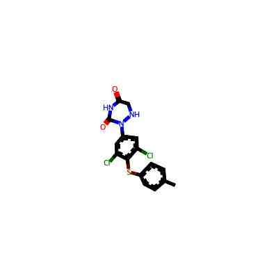 Cc1ccc(Sc2c(Cl)cc(N3NCC(=O)NC3=O)cc2Cl)cc1